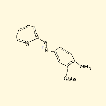 COc1cc(/N=N/c2ccccn2)ccc1N